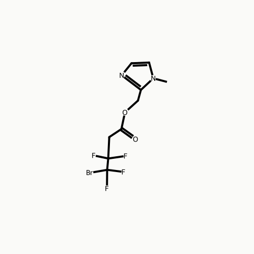 Cn1ccnc1COC(=O)CC(F)(F)C(F)(F)Br